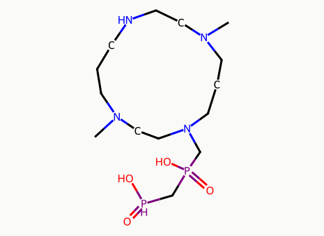 CN1CCCN(CP(=O)(O)C[PH](=O)O)CCN(C)CCCNCC1